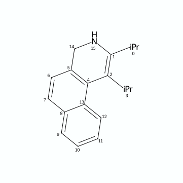 CC(C)C1=C(C(C)C)c2c(ccc3ccccc23)CN1